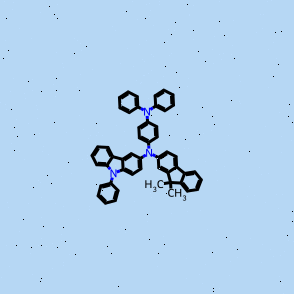 CC1(C)c2ccccc2-c2ccc(N(c3ccc(N(c4ccccc4)c4ccccc4)cc3)c3ccc4c(c3)c3ccccc3n4-c3ccccc3)cc21